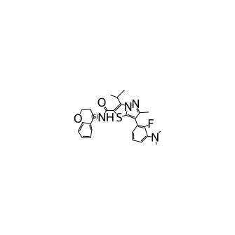 Cc1nn2c(C(C)C)c(C(=O)N[C@H]3CCOc4ccccc43)sc2c1-c1cccc(N(C)C)c1F